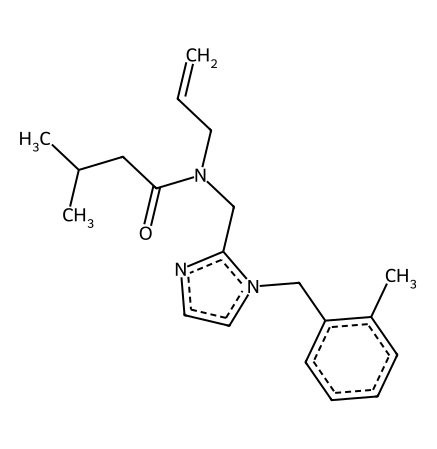 C=CCN(Cc1nccn1Cc1ccccc1C)C(=O)CC(C)C